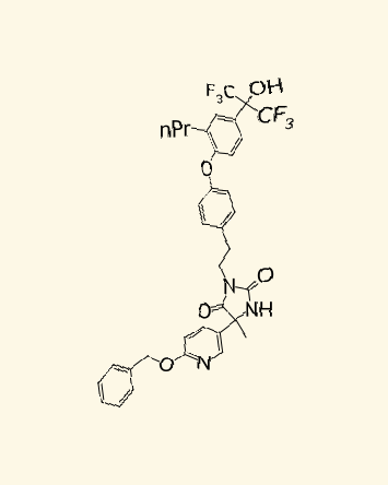 CCCc1cc(C(O)(C(F)(F)F)C(F)(F)F)ccc1Oc1ccc(CCN2C(=O)NC(C)(c3ccc(OCc4ccccc4)nc3)C2=O)cc1